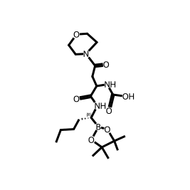 CCCC[C@H](NC(=O)C(CC(=O)N1CCOCC1)NC(=O)O)B1OC(C)(C)C(C)(C)O1